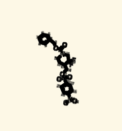 O=C(OCc1ccccc1)N1CCC(COS(=O)(=O)c2ccc([N+](=O)[O-])cc2)C(F)(F)C1